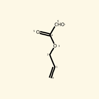 C=CCOC(=O)[C]=O